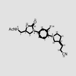 CC(=O)NCC1CN(c2ccc(N3CCC(=CCC#N)C3)c(F)c2)C(=O)O1